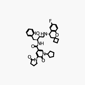 O=C(N[C@@H](Cc1ccccc1)[C@H](O)CN[C@H]1CC2(CCC2)Oc2ccc(F)cc21)c1cc(N2CCCC2=O)c(=O)n(C2CCCC2)c1